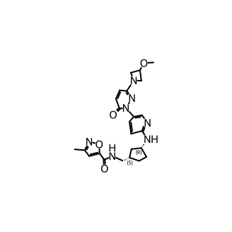 COC1CN(c2ccc(=O)n(-c3ccc(N[C@@H]4CC[C@H](CNC(=O)c5cc(C)no5)C4)nc3)n2)C1